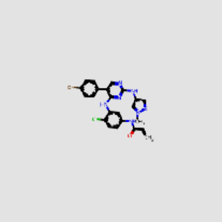 C=CC(=O)Nc1ccc(Cl)c(Nc2nc(Nc3cnn(C)c3)ncc2-c2ccc(Br)cc2)c1